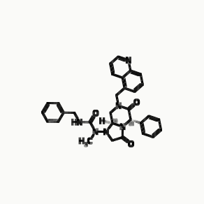 CN(C(=O)NCc1ccccc1)N1CC(=O)N2[C@@H](c3ccccc3)C(=O)N(Cc3cccc4ncccc34)C[C@@H]21